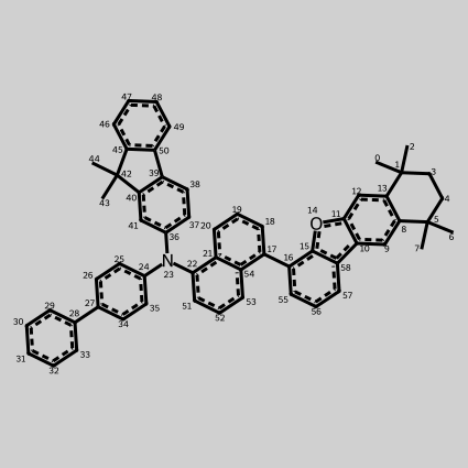 CC1(C)CCC(C)(C)c2cc3c(cc21)oc1c(-c2cccc4c(N(c5ccc(-c6ccccc6)cc5)c5ccc6c(c5)C(C)(C)c5ccccc5-6)cccc24)cccc13